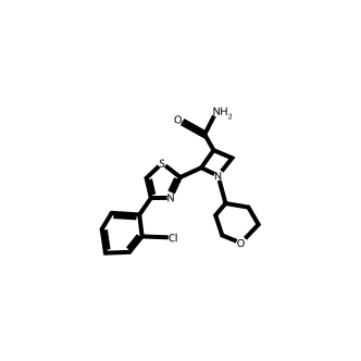 NC(=O)C1CN(C2CCOCC2)C1c1nc(-c2ccccc2Cl)cs1